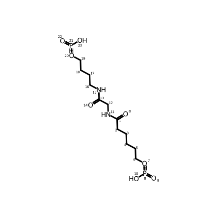 O=C(CCCCCO[PH](=O)O)NCC(=O)NCCCCO[PH](=O)O